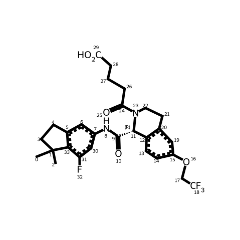 CC1(C)CCc2cc(NC(=O)[C@H]3c4ccc(OCC(F)(F)F)cc4CCN3C(=O)CCCC(=O)O)cc(F)c21